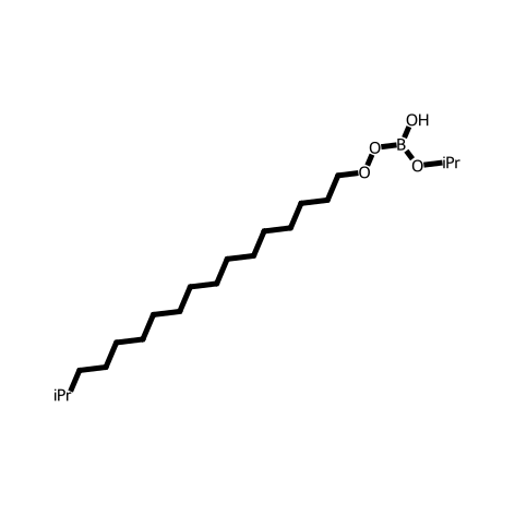 CC(C)CCCCCCCCCCCCCCCOOB(O)OC(C)C